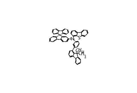 CC1(C)c2ccccc2-c2cccc(-c3cccc(N(c4ccc5c(c4)C4(c6ccccc6-c6ccccc64)c4ccccc4-5)c4cccc5c4sc4ccccc45)c3)c21